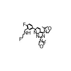 C[C@H]1COCCN1c1nc(N2CCOC[C@@H]2C)c2ccc(-c3ccc(F)c(CNCCF)c3)nc2n1